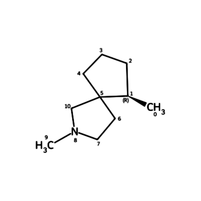 C[C@@H]1CCCC12CCN(C)C2